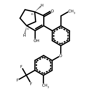 CCc1ccc(Oc2ccc(C(F)(F)F)c(C)c2)cc1C1=C(O)[C@H]2CC[C@H](C2)C1=O